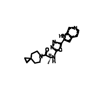 C[C@@H](Nc1nnc(-c2cc3ccncc3[nH]2)o1)C(=O)N1CCC2(CC1)CC2